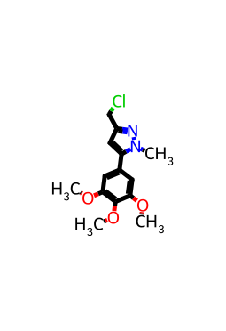 COc1cc(-c2cc(CCl)nn2C)cc(OC)c1OC